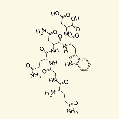 NC(=O)CCC(N)C(=O)NCC(=O)NC(CCC(N)=O)C(=O)NC(CC(N)=O)C(=O)NC(Cc1c[nH]c2ccccc12)C(=O)NC(CC(=O)O)C(=O)O